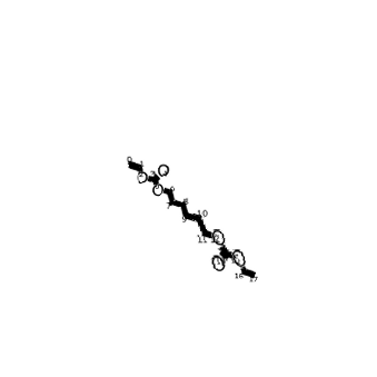 C=COC(=O)OCCCCCCOC(=O)OC=C